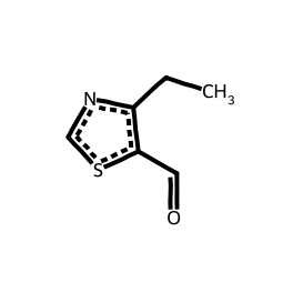 CCc1ncsc1C=O